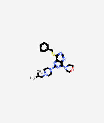 CC(C)CN1CCN(c2nc(N3CCOCC3)c3ncnc(SCc4ccccc4)c3n2)CC1